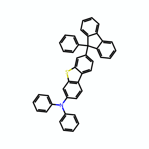 c1ccc(N(c2ccccc2)c2ccc3c(c2)sc2cc(C4(c5ccccc5)c5ccccc5-c5ccccc54)ccc23)cc1